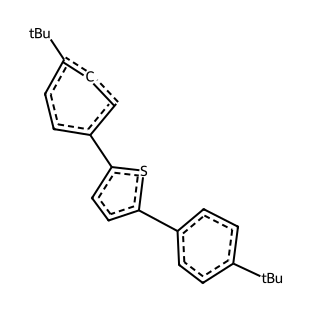 CC(C)(C)c1ccc(-c2ccc(-c3ccc(C(C)(C)C)cc3)s2)cc1